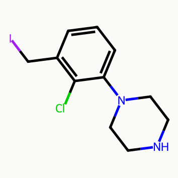 Clc1c(CI)cccc1N1CCNCC1